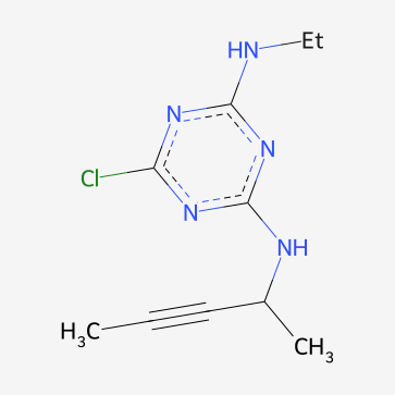 CC#CC(C)Nc1nc(Cl)nc(NCC)n1